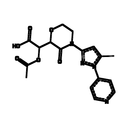 CC(=O)OC(C(=O)O)C1OCCN(c2cc(C)n(-c3ccncc3)n2)C1=O